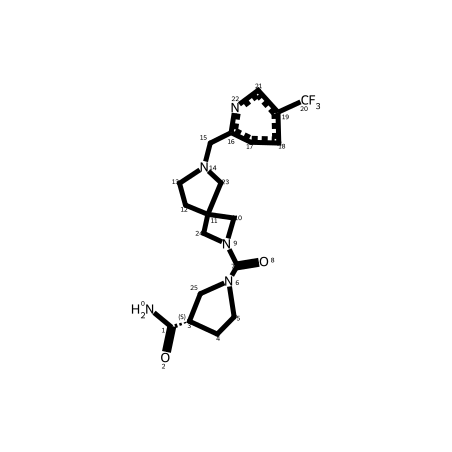 NC(=O)[C@H]1CCN(C(=O)N2CC3(CCN(Cc4ccc(C(F)(F)F)cn4)C3)C2)C1